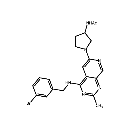 CC(=O)NC1CCN(c2cc3c(NCc4cccc(Br)c4)nc(C)nc3cn2)C1